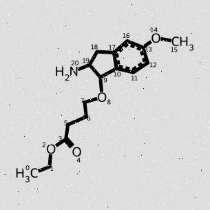 CCOC(=O)CCCOC1c2ccc(OC)cc2CC1N